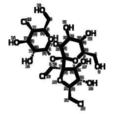 OC[C@H]1O[C@](O[C@H]2O[C@H](CO)[C@H](Cl)[C@H](O)[C@H]2O)([C@]2(CCl)O[C@H](CCl)[C@@H](O)[C@@H]2O)[C@H](O)[C@@H](O)[C@H]1O